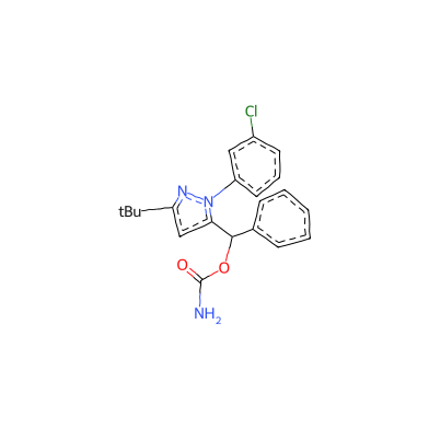 CC(C)(C)c1cc(C(OC(N)=O)c2ccccc2)n(-c2cccc(Cl)c2)n1